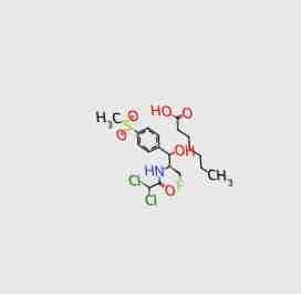 CCCCCCC(=O)O.CS(=O)(=O)c1ccc([C@@H](O)[C@@H](CF)NC(=O)C(Cl)Cl)cc1